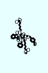 COC(=O)CCCCCO[C@H]1O[C@H](COCc2ccc(OC)cc2)[C@@H](OCCCCCC(=O)OC)[C@H](OCc2ccccc2)[C@@H]1N1C(=O)c2ccccc2C1=O